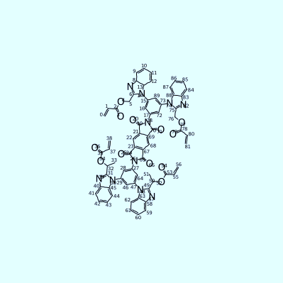 C=CC(=O)OCC1=NC2C=CC=CC2N1c1cc(-n2c(=O)c3cc4c(=O)n(-c5cc(-n6c(C(C)OC(=O)C=C)nc7ccccc76)cc(-n6c(C(C)OC(=O)C=C)nc7ccccc76)c5)c(=O)c4cc3c2=O)cc(-n2c(COC(=O)C=C)nc3ccccc32)c1